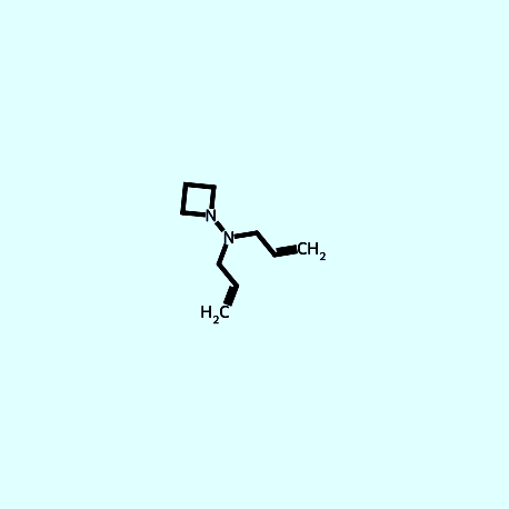 C=CCN(CC=C)N1CCC1